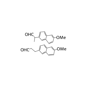 COc1ccc2cc(C(C)C=O)ccc2c1.COc1ccc2cc(CCC=O)ccc2c1